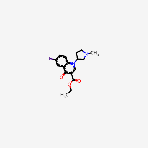 CCOC(=O)c1cn(C2CCN(C)C2)c2ccc(I)cc2c1=O